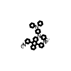 [C-]#[N+]c1cccc(-c2c3ccccc3c(-c3cccc([N+]#[C-])c3)c3cc(N(c4ccccc4)c4ccc(N(c5ccccc5)c5ccccc5)cc4)ccc23)c1